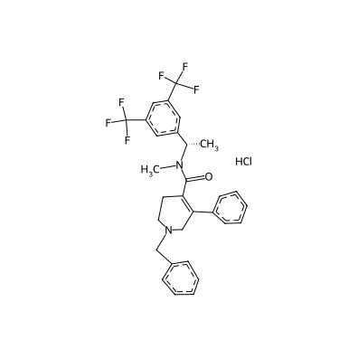 C[C@@H](c1cc(C(F)(F)F)cc(C(F)(F)F)c1)N(C)C(=O)C1=C(c2ccccc2)CN(Cc2ccccc2)CC1.Cl